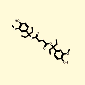 CCC(CC)(OC(=O)CCC(=O)OC(CC)(CC)c1ccc(O)c(OC)c1)c1ccc(O)c(OC)c1